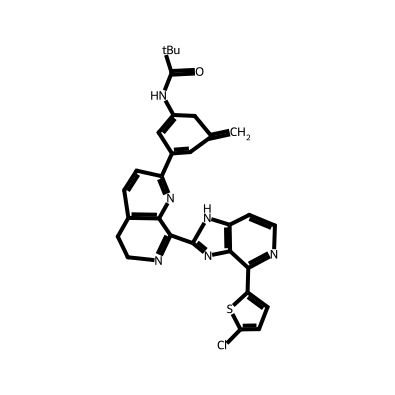 C=C1C=C(c2ccc3c(n2)C(c2nc4c(-c5ccc(Cl)s5)nccc4[nH]2)=NCC3)C=C(NC(=O)C(C)(C)C)C1